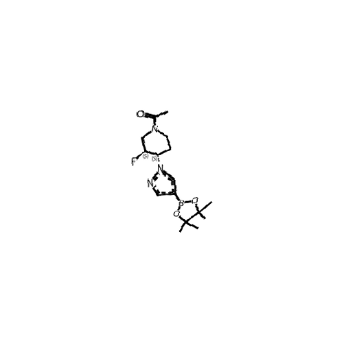 CC(=O)N1CC[C@H](n2cc(B3OC(C)(C)C(C)(C)O3)cn2)[C@@H](F)C1